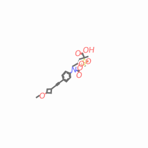 CCOC1CC(C#Cc2ccc(N3C[C@H](CC(C)(C(=O)O)S(C)(=O)=O)OC3=O)cc2)C1